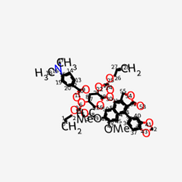 C=CCOC(=O)O[C@H]1[C@H](OC(=O)c2ccc(N(C)C)cc2)[C@@H](OC(=O)OCC=C)C(Oc2c3c(c(-c4ccc5c(c4)OCO5)c4cc(OC)c(OC)cc24)C(=O)OC3)O[C@@H]1C